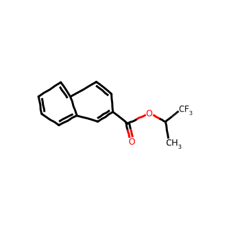 CC(OC(=O)c1ccc2ccccc2c1)C(F)(F)F